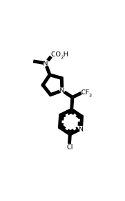 CN(C(=O)O)C1CCN(C(c2ccc(Cl)nc2)C(F)(F)F)C1